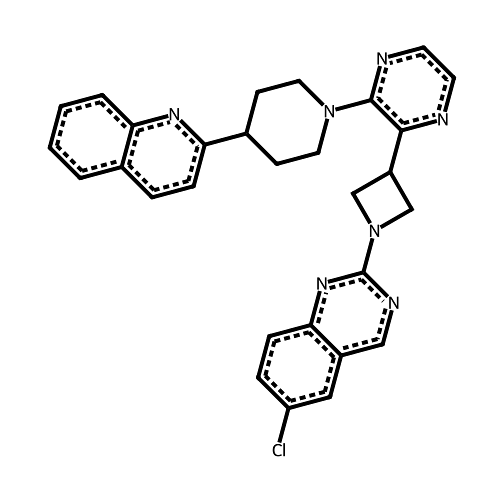 Clc1ccc2nc(N3CC(c4nccnc4N4CCC(c5ccc6ccccc6n5)CC4)C3)ncc2c1